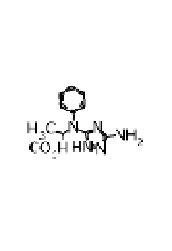 C[C@@H](C(=O)O)N(c1ccccc1)c1nc(N)n[nH]1